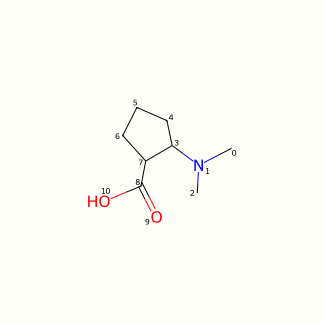 CN(C)C1CCCC1C(=O)O